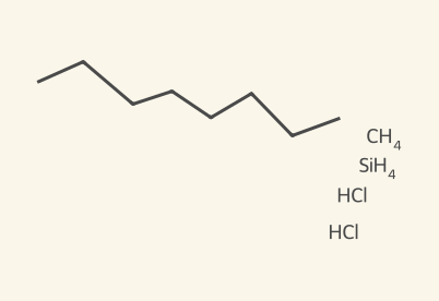 C.CCCCCCCC.Cl.Cl.[SiH4]